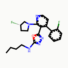 CCCCNc1nnc(-c2c(-c3ccccc3F)ccnc2N2CC[C@H](F)C2)o1